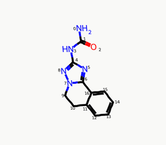 NC(=O)Nc1nc2n(n1)CCc1ccccc1-2